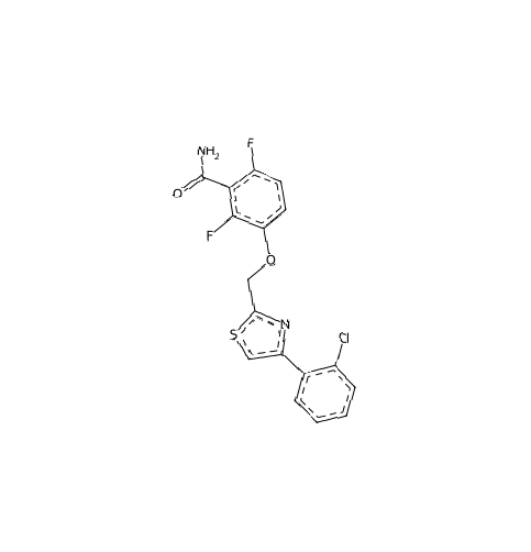 NC(=O)c1c(F)ccc(OCc2nc(-c3ccccc3Cl)cs2)c1F